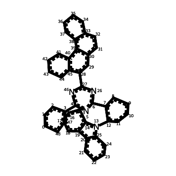 c1ccc(-c2nc(-c3ccccc3-n3c4ccccc4c4ccccc43)nc(-c3cc4ccc5ccccc5c4c4ccccc34)n2)cc1